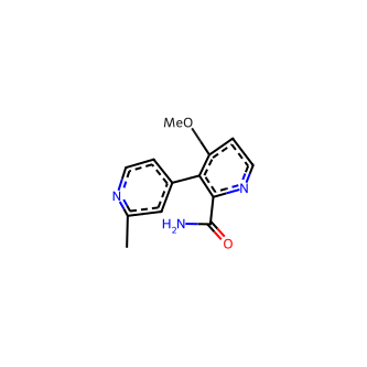 COc1ccnc(C(N)=O)c1-c1ccnc(C)c1